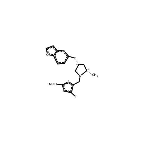 CC(=O)Nc1nc(F)c(CN2C[C@H](Oc3ccc4occc4n3)C[C@@H]2C)s1